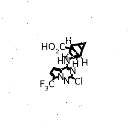 O=C(O)[C@@H]1[C@@H](Nc2nc(Cl)nn3c(C(F)(F)F)ccc23)[C@@H]2CC[C@H]1C1CC12